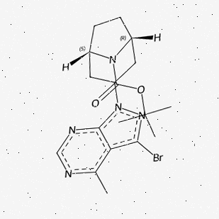 Cc1ncnc2c1c(Br)nn2C1C[C@H]2CC[C@@H](C1)N2C(=O)OC(C)(C)C